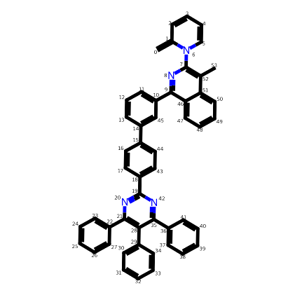 C=C1C=CC=CN1c1nc(-c2cccc(-c3ccc(-c4nc(-c5ccccc5)c(-c5ccccc5)c(-c5ccccc5)n4)cc3)c2)c2ccccc2c1C